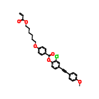 C=CC(=O)OCCCCCCOc1ccc(C(=O)Oc2ccc(C#Cc3ccc(OC)cc3)cc2Cl)cc1